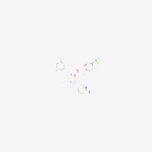 Nc1ccc(CNC(=O)[C@H](Cc2ccc(F)c(F)c2)NC(=O)C(O)Cc2ccc(C(F)(F)F)cc2)cn1